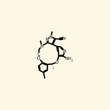 Cc1ccc2c(c1)[C@@H](C)Oc1cc(cnc1N)-c1c(nn(C)c1C#N)N(C)CCO2